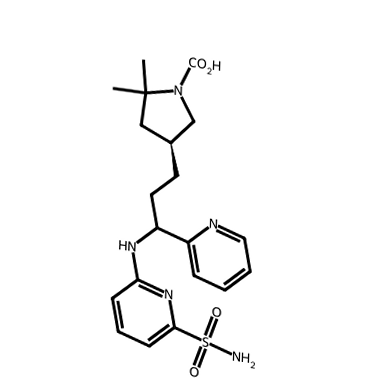 CC1(C)C[C@H](CCC(Nc2cccc(S(N)(=O)=O)n2)c2ccccn2)CN1C(=O)O